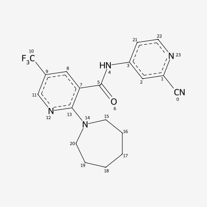 N#Cc1cc(NC(=O)c2cc(C(F)(F)F)cnc2N2CCCCCC2)ccn1